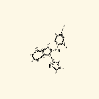 Fc1cc(I)ccc1Nc1sc2ncccc2c1-c1nnn[nH]1